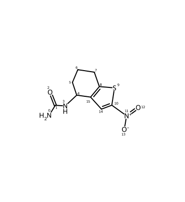 NC(=O)NC1CCCc2sc([N+](=O)[O-])cc21